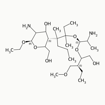 CCCC(C)([C@@H]1C(CO)O[C@@H](OCC)C(N)C1O)C(C)(CC)O[C@H](OC(CO)[C@@H](CC)COC)C(C)N